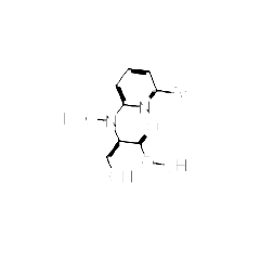 CC=C(C(=O)OC)N(C)c1cccc(Br)n1